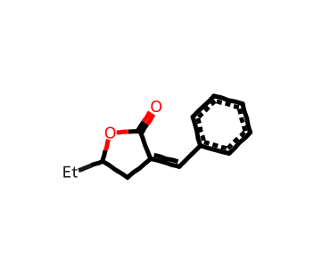 CCC1CC(=Cc2ccccc2)C(=O)O1